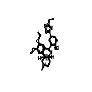 CCOc1cc2c(cc1OC)[C@H]1CN(C)CC[C@H]1N=C2c1cccc(-c2nnn(CC)n2)c1.Cl